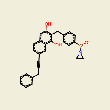 [O-][S+](c1ccc(Cc2c(O)cc3ccc(C#CCc4ccccc4)cc3c2O)cc1)N1CC1